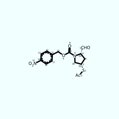 CC(=O)S[C@H]1C[C@@H](C=O)N(C(=O)OCc2ccc([N+](=O)[O-])cc2)C1